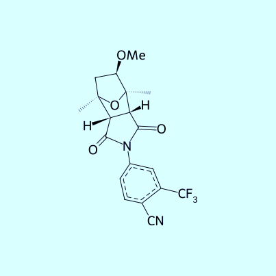 CO[C@@H]1C[C@@]2(C)O[C@]1(C)[C@@H]1C(=O)N(c3ccc(C#N)c(C(F)(F)F)c3)C(=O)[C@@H]12